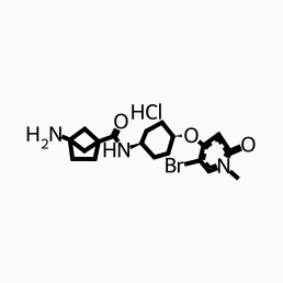 Cl.Cn1cc(Br)c(O[C@H]2CC[C@H](NC(=O)C34CCC(N)(C3)C4)CC2)cc1=O